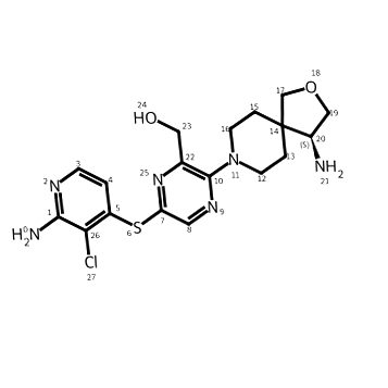 Nc1nccc(Sc2cnc(N3CCC4(CC3)COC[C@H]4N)c(CO)n2)c1Cl